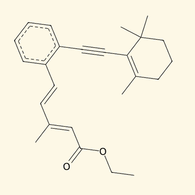 CCOC(=O)C=C(C)C=Cc1ccccc1C#CC1=C(C)CCCC1(C)C